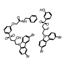 O=C(COc1cccc(S(=O)(=O)CC(O)Cn2c3ccc(Br)cc3c3cc(Br)ccc32)c1)NCc1ccccc1.O=S(=O)(CC(F)Cn1c2ccc(Br)cc2c2cc(Br)ccc21)c1cccc(O)c1